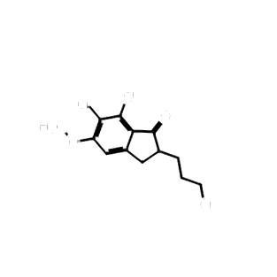 COc1cc2c(c(Cl)c1Cl)C(=O)C(CCCCl)C2